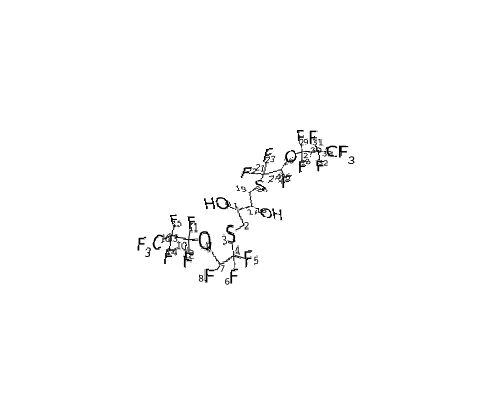 OC(CSC(F)(F)C(F)OC(F)(F)C(F)(F)C(F)(F)F)C(O)CSC(F)(F)C(F)OC(F)(F)C(F)(F)C(F)(F)F